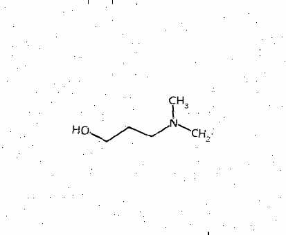 [CH2]N(C)CCCO